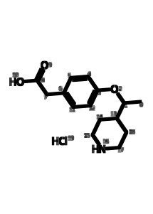 CC(Oc1ccc(CC(=O)O)cc1)C1CCNCC1.Cl